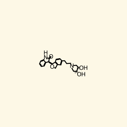 O=C1Nc2ccccc2C1=C1OCc2cc(CCCN3CC[C@@H](O)[C@@H](O)C3)ccc21